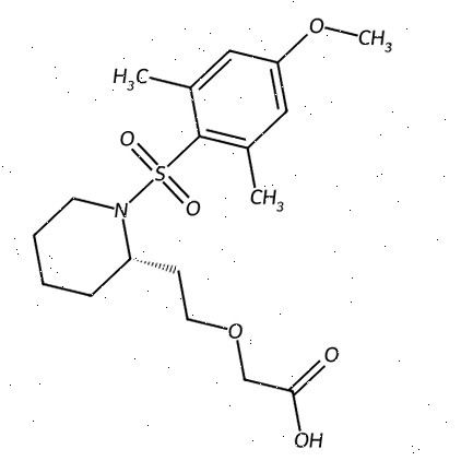 COc1cc(C)c(S(=O)(=O)N2CCCC[C@H]2CCOCC(=O)O)c(C)c1